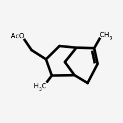 CC(=O)OCC1CC2CC(CC=C2C)C1C